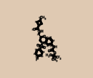 CC1CC(C(=O)NC[C@H]2CN(S(=O)(=O)c3ccc(F)cc3)c3cc(NC(=O)OC(C)(C)C(F)(F)F)ccc3O2)C1